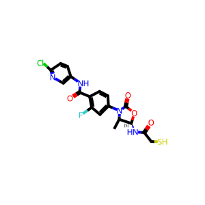 CC1[C@@H](NC(=O)CS)OC(=O)N1c1ccc(C(=O)Nc2ccc(Cl)nc2)c(F)c1